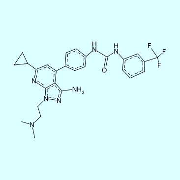 CN(C)CCn1nc(N)c2c(-c3ccc(NC(=O)Nc4cccc(C(F)(F)F)c4)cc3)cc(C3CC3)nc21